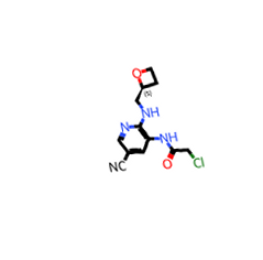 N#Cc1cnc(NC[C@@H]2CCO2)c(NC(=O)CCl)c1